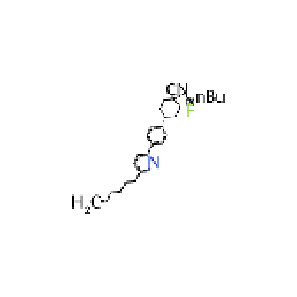 C=CCCCCc1ccc(-c2ccc([C@H]3CC[C@@](C#N)(C[C@@H](F)CCCC)CC3)cc2)nc1